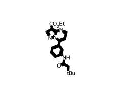 CCOC(=O)c1cnn2c(-c3cccc(NC(=O)CC(C)(C)C)c3)ccnc12